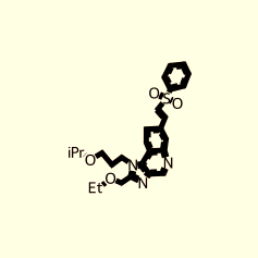 CCOCc1nc2cnc3cc(/C=C/S(=O)(=O)c4ccccc4)ccc3c2n1CCCOC(C)C